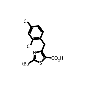 CC(C)(C)c1nc(Cc2ccc(Cl)cc2Cl)c(C(=O)O)s1